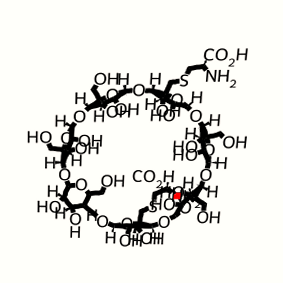 N[C@H](CSCC1O[C@@H]2O[C@@H]3C(CO)OC(O[C@@H]4C(CO)O[C@H](O[C@@H]5C(CO)O[C@H](O[C@@H]6C(CSC[C@@H](N)C(=O)O)O[C@@H](O[C@@H]7C(CO)O[C@@H](O[C@@H]8C(CO)OC(O[C@H]1[C@H](O)C2O)[C@@H](O)[C@H]8O)C(O)[C@H]7O)C(O)[C@H]6O)C(O)[C@H]5O)C(O)[C@H]4O)[C@@H](O)[C@H]3O)C(=O)O